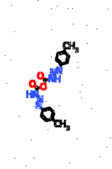 Cc1ccc(/N=N/NC(=O)OC(=O)N/N=N/c2ccc(C)cc2)cc1